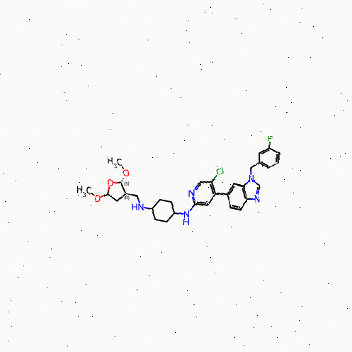 COC1C[C@H](CNC2CCC(Nc3cc(-c4ccc5ncn(Cc6cccc(F)c6)c5c4)c(Cl)cn3)CC2)[C@@H](OC)O1